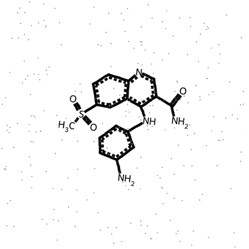 CS(=O)(=O)c1ccc2ncc(C(N)=O)c(Nc3cccc(N)c3)c2c1